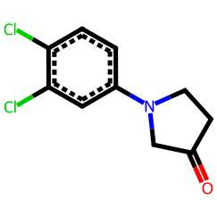 O=C1CCN(c2ccc(Cl)c(Cl)c2)C1